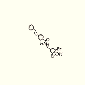 O=C(NN=Cc1cc(Br)c(O)c(Br)c1)c1ccc(OCc2ccccc2)cc1